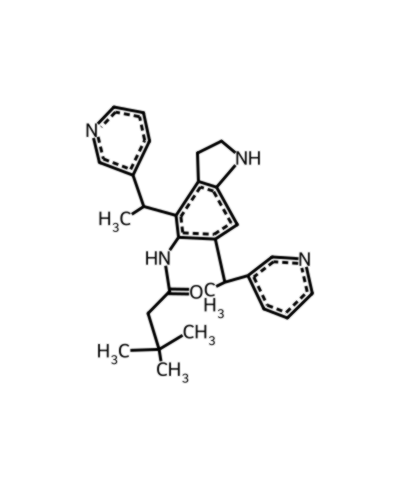 CC(c1cccnc1)c1cc2c(c(C(C)c3cccnc3)c1NC(=O)CC(C)(C)C)CCN2